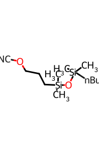 CCCC[Si](C)(C)O[Si](C)(C)CCCOC#N